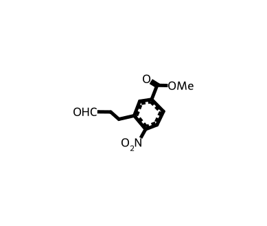 COC(=O)c1ccc([N+](=O)[O-])c(CCC=O)c1